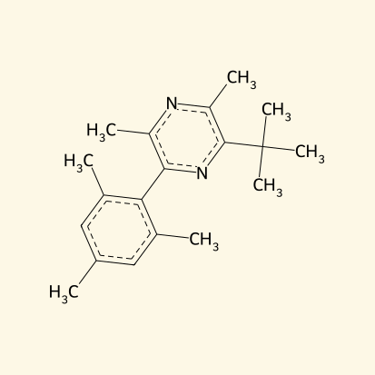 Cc1cc(C)c(-c2nc(C(C)(C)C)c(C)nc2C)c(C)c1